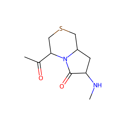 CNC1CC2CSCC(C(C)=O)N2C1=O